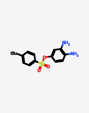 CC(C)(C)c1ccc(S(=O)(=O)Oc2ccc(N)c(N)c2)cc1